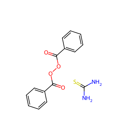 NC(N)=S.O=C(OOC(=O)c1ccccc1)c1ccccc1